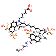 C=C(/C=C/C=C/C=C/C=C1/N(CCCCCC(=O)O)c2ccc3c(S(=O)(=O)O)cc(S(=O)(=O)O)cc3c2C1(C)C)C(C)(CCCS(=O)(=O)O)c1c(C)ccc2c(C(=O)NCCOC)cc(S(=O)(=O)O)cc12